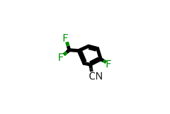 N#Cc1cc(C(F)F)ccc1F